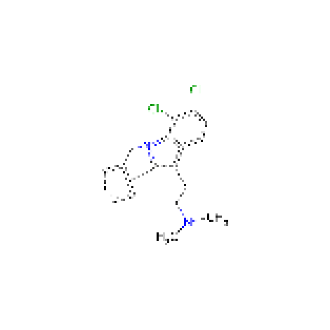 CN(C)CCc1c2n(c3c(Cl)c(Cl)ccc13)Cc1ccccc1-2